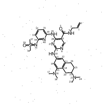 C=CCNC(=O)c1cnc(Nc2cc3c(c(N(C)C)c2)CC(N(C)C)CC3)nc1Nc1cccc(N=S(C)(C)=O)n1